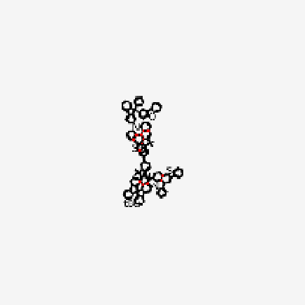 CC(C)(C)c1ccc2c(c1)C1(c3ccccc3-c3cc(N(c4ccccc4-c4ccc5sc6ccccc6c5c4)c4ccccc4-c4cccc5c4-c4ccc(-c6ccc7c(c6)sc6ccc(-c8ccccc8N(c8ccc9c(c8)C(c8ccccc8)(c8ccc%10oc%11ccccc%11c%10c8)c8ccccc8-9)c8ccccc8-c8cccc9c8-c8ccccc8C9(C)C)cc67)cc4C5(C)C)ccc31)c1cc(C(C)(C)C)ccc1-2